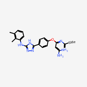 C=C(/N=C(\C=C(N)N)Oc1ccc(-c2nnc(Nc3cccc(C)c3C)[nH]2)cc1)SC